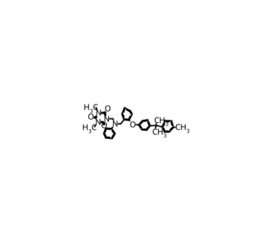 Cc1ccc(C(C)(C)c2ccc(Oc3ccccc3CN(Cn3c(=O)n(C)c(=O)n(C)c3=O)c3ccccc3)cc2)cc1